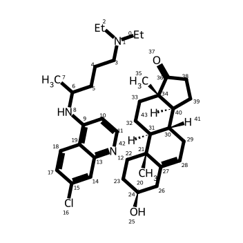 CCN(CC)CCCC(C)Nc1ccnc2cc(Cl)ccc12.C[C@]12CC[C@H](O)CC1=CC[C@@H]1[C@@H]2CC[C@]2(C)C(=O)CC[C@@H]12